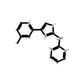 Cc1ccnc(-c2csc(Nc3ncccn3)n2)c1